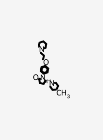 CC1CCN(C[C@@H]2CCC(=O)N2c2ccc(OCCCN3CCCCC3)cc2)CC1